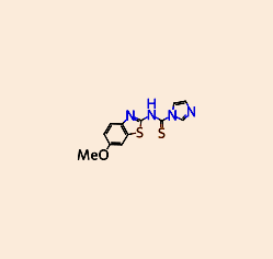 COc1ccc2nc(NC(=S)n3ccnc3)sc2c1